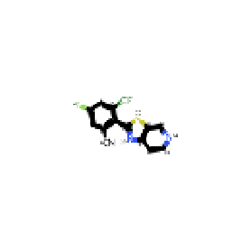 N#Cc1cc(F)cc(Cl)c1-c1nc2ccncc2s1